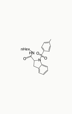 CCCCCCNC(=O)C1Cc2ccccc2N1S(=O)(=O)c1ccc(C)cc1